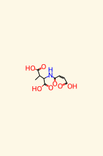 CC(C(=O)O)C(NC(=O)/C=C\C(=O)O)C(=O)O